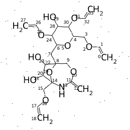 C=COCC1OC(CC23COC(=C)NC(COC=C)(O2)C(O)C3O)C(OC=C)C(O)C1OC=C